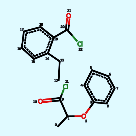 CC(Oc1ccccc1)C(=O)Cl.CCc1ccccc1C(=O)Cl